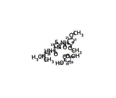 COc1ccc(OC)c(C(=O)Nc2nc(C(=O)NCCN(C)C)cs2)c1.O=C(O)/C=C\C(=O)O